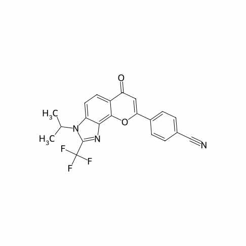 CC(C)n1c(C(F)(F)F)nc2c3oc(-c4ccc(C#N)cc4)cc(=O)c3ccc21